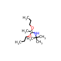 CCCO[Si](C)(NC(C)(C)C)OCCC